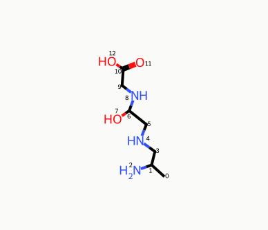 CC(N)CNCC(O)NCC(=O)O